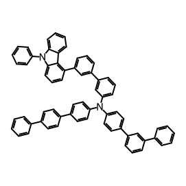 c1ccc(-c2ccc(-c3ccc(N(c4ccc(-c5cccc(-c6ccccc6)c5)cc4)c4cccc(-c5cccc(-c6cccc7c6c6ccccc6n7-c6ccccc6)c5)c4)cc3)cc2)cc1